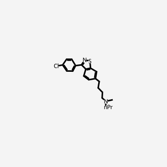 CCCN(C)CCCCc1ccc2c(-c3ccc(Cl)cc3)nsc2c1